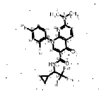 CN(C)c1ccc2c(=O)c(C(=O)NC(C3CC3)C(F)(F)F)cn(-c3ccc(F)cc3F)c2n1